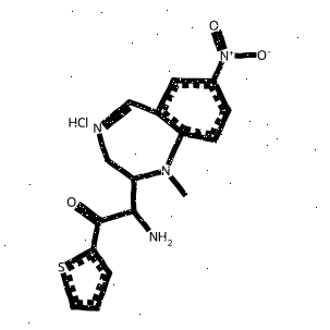 CN1c2ccc([N+](=O)[O-])cc2C=NCC1C(N)C(=O)c1cccs1.Cl